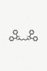 c1ccc(C2=C(c3ccccc3)P=C(CCCC3=PC(c4ccccc4)=C(c4ccccc4)[P]3)[P]2)cc1